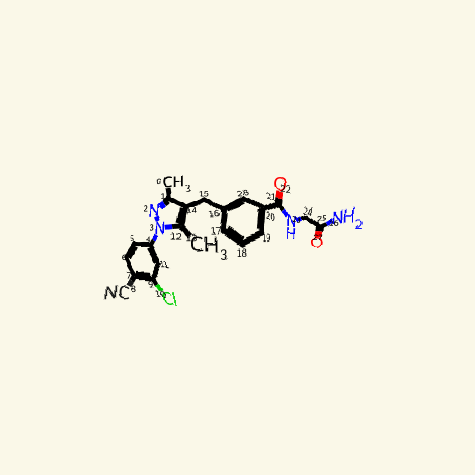 Cc1nn(-c2ccc(C#N)c(Cl)c2)c(C)c1Cc1cccc(C(=O)NCC(N)=O)c1